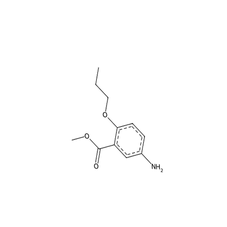 CCCOc1ccc(N)cc1C(=O)OC